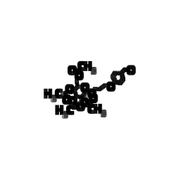 CC(=O)OCC1OC(OCCCOc2ccc(C=O)cc2)[C@H](OC(C)=O)C(OC(C)=O)C1OC(C)=O